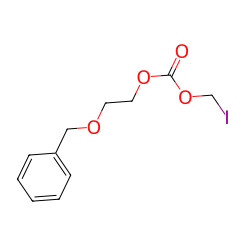 O=C(OCI)OCCOCc1ccccc1